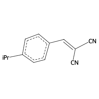 CC(C)c1ccc(C=C(C#N)C#N)cc1